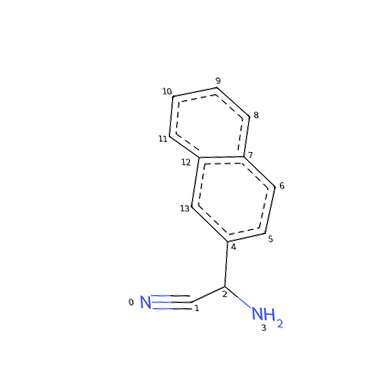 N#CC(N)c1ccc2ccccc2c1